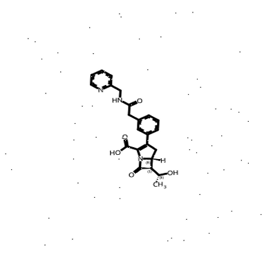 C[C@@H](O)[C@H]1C(=O)N2C(C(=O)O)=C(c3cccc(CC(=O)NCc4ccccn4)c3)C[C@H]12